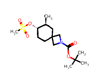 C[C@H]1CC2(CC[C@@H]1OS(C)(=O)=O)CN(C(=O)OC(C)(C)C)C2